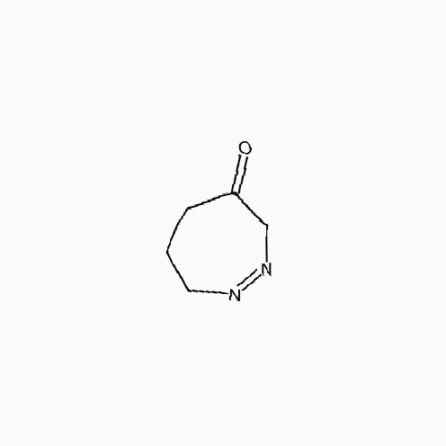 O=C1CCCN=NC1